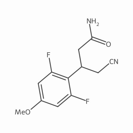 COc1cc(F)c(C(CC#N)CC(N)=O)c(F)c1